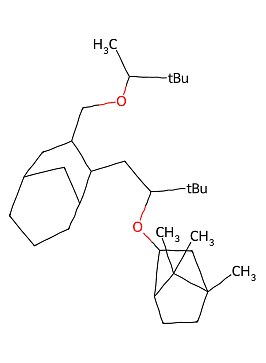 CC(OCC1CC2CCCC(C2)C1CC(OC1CC2(C)CCC1C2(C)C)C(C)(C)C)C(C)(C)C